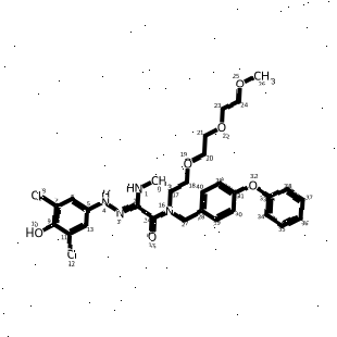 CN/C(=N\Nc1cc(Cl)c(O)c(Cl)c1)C(=O)N(CCOCCOCCOC)Cc1ccc(Oc2ccccc2)cc1